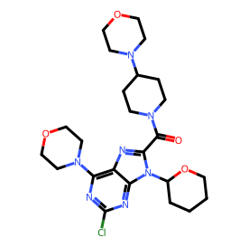 O=C(c1nc2c(N3CCOCC3)nc(Cl)nc2n1C1CCCCO1)N1CCC(N2CCOCC2)CC1